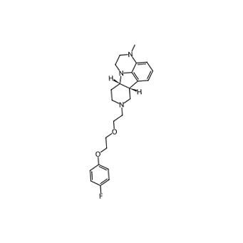 CN1CCN2c3c(cccc31)[C@@H]1CN(CCOCCOc3ccc(F)cc3)CC[C@@H]12